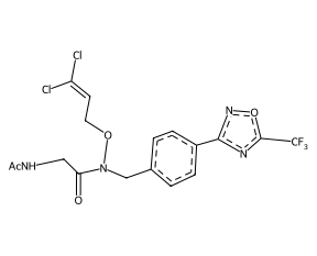 CC(=O)NCC(=O)N(Cc1ccc(-c2noc(C(F)(F)F)n2)cc1)OCC=C(Cl)Cl